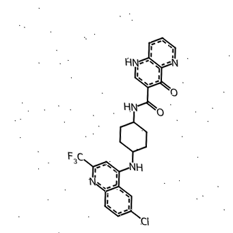 O=C(NC1CCC(Nc2cc(C(F)(F)F)nc3ccc(Cl)cc23)CC1)c1c[nH]c2cccnc2c1=O